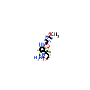 COc1cnc(C(=O)Nc2ccc(F)c([C@]3(C(F)F)CCCOC(N)=N3)c2)cn1